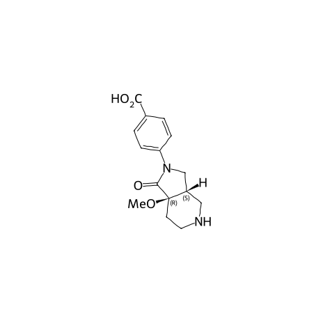 CO[C@]12CCNC[C@H]1CN(c1ccc(C(=O)O)cc1)C2=O